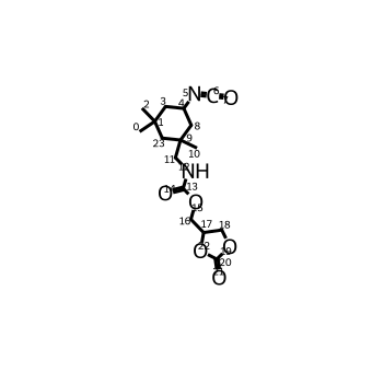 CC1(C)CC(N=C=O)CC(C)(CNC(=O)OCC2COC(=O)O2)C1